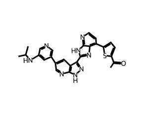 CC(=O)c1ccc(-c2ccnc3[nH]c(-c4n[nH]c5ncc(-c6cncc(NC(C)C)c6)cc45)nc23)s1